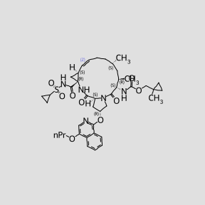 CCCOc1cnc(O[C@@H]2C[C@H]3C(=O)N[C@]4(C(=O)NS(=O)(=O)C5CC5)C[C@H]4/C=C\CC[C@H](C)C[C@@H](C)[C@H](NC(=O)OCC4(C)CC4)C(=O)N3C2)c2ccccc12